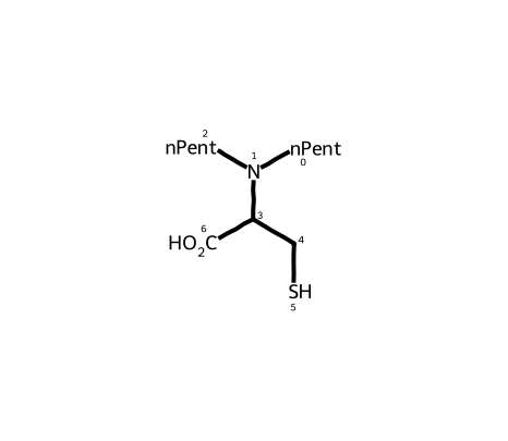 CCCCCN(CCCCC)C(CS)C(=O)O